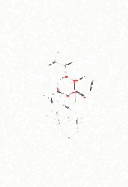 O=C(O)C(=O)Nc1ccccc1N(C(=O)C(=O)O)[C@H]1C[C@H]2CCC[C@@H](C1)C2[C@H]1C[C@@H]2CCC[C@@H](C2)C1